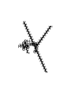 CCCCCC(C(=O)O)C(O)(CC(=O)O)C(=O)O.CCCCCCCCCCCCCCCCCC(=O)OCC(COC(=O)CCCCCCCCCCCCCCCCC)OC(=O)CCCCCCCCCCCCCCCCC